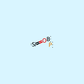 O=[Si].[B].[P]